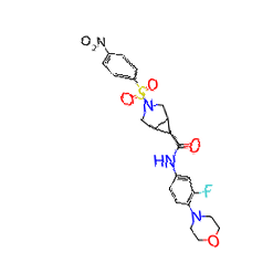 O=C(Nc1ccc(N2CCOCC2)c(F)c1)C1C2CN(S(=O)(=O)c3ccc([N+](=O)[O-])cc3)CC21